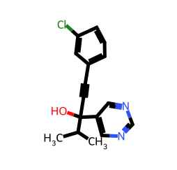 CC(C)C(O)(C#Cc1cccc(Cl)c1)c1cncnc1